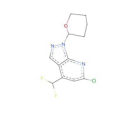 FC(F)c1cc(Cl)nc2c1cnn2C1CCCCO1